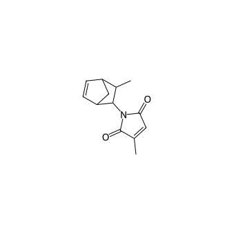 CC1=CC(=O)N(C2C3C=CC(C3)C2C)C1=O